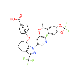 CC(Oc1cc(-n2nc(C(F)(F)F)c3c2[C@@H](OC24CCC(C(=O)O)(CC2)CC4)CCC3)cnc1F)c1ccc2c(c1)OC(F)(F)O2